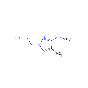 O=C(O)Nc1nn(CCO)cc1[N+](=O)[O-]